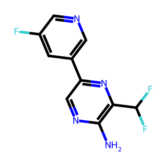 Nc1ncc(-c2cncc(F)c2)nc1C(F)F